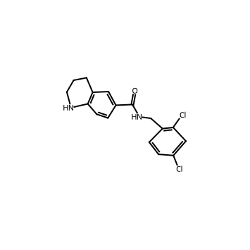 O=C(NCc1ccc(Cl)cc1Cl)c1ccc2c(c1)CCCN2